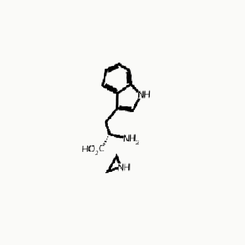 C1CN1.N[C@@H](Cc1c[nH]c2ccccc12)C(=O)O